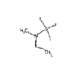 CCN(C)[Si](I)(I)I